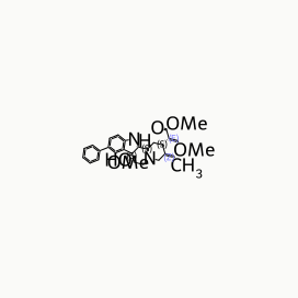 C/C=C1\CN2CC[C@@]3(O)C(=Nc4ccc(-c5ccccc5)c(OC)c43)[C@@H]2C[C@@H]1/C(=C\OC)C(=O)OC